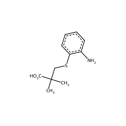 CC(C)(CSc1ccccc1N)C(=O)O